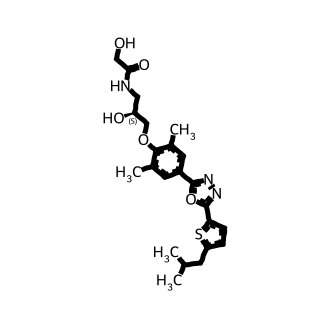 Cc1cc(-c2nnc(-c3ccc(CC(C)C)s3)o2)cc(C)c1OC[C@@H](O)CNC(=O)CO